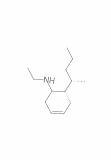 CCC[C@H](C)[C@@H]1CC=CCC1NCC